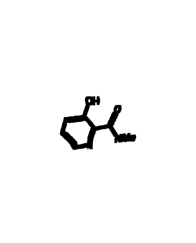 CNC(=O)c1ncccc1O